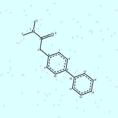 CN(C)C(=O)[CH]c1ccc(-c2ccccc2)cc1